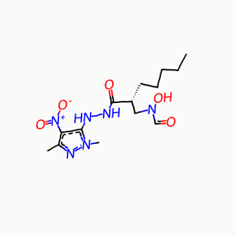 CCCCC[C@H](CN(O)C=O)C(=O)NNc1c([N+](=O)[O-])c(C)nn1C